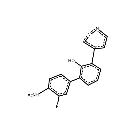 CC(=O)Nc1ccc(-c2cccc(-c3ccnnc3)c2O)cc1F